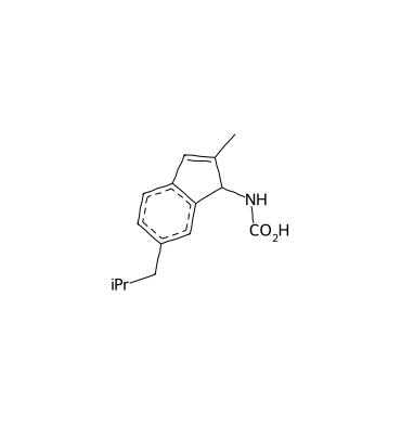 CC1=Cc2ccc(CC(C)C)cc2C1NC(=O)O